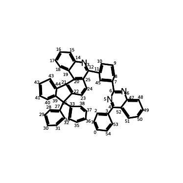 c1ccc(-c2nc(-c3cccc(-c4nc5ccccc5c5c6c(ccc45)C(c4ccccc4)(c4ccccc4)c4ccccc4-6)c3)nc3ccccc23)cc1